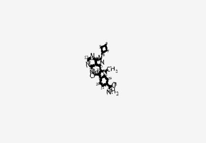 Cn1c(-c2nn(C3CCC3)c3ncnc(N)c23)c(Cl)c2ccc(C(N)=O)cc21